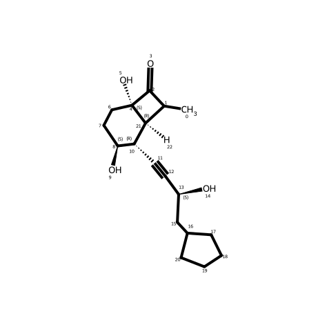 CC1C(=O)[C@]2(O)CC[C@H](O)[C@@H](C#C[C@@H](O)CC3CCCC3)[C@H]12